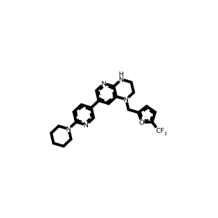 FC(F)(F)c1ccc(CN2CCNc3ncc(-c4ccc(N5CCCCC5)nc4)cc32)o1